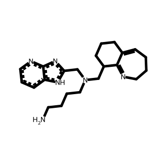 NCCCCN(Cc1nc2ncccc2[nH]1)CC1CCCC2=CCCCN=C21